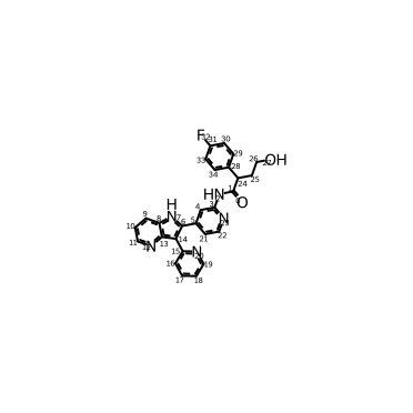 O=C(Nc1cc(-c2[nH]c3cccnc3c2-c2ccccn2)ccn1)C(CCO)c1ccc(F)cc1